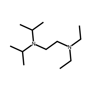 CCN(CC)CCN(C(C)C)C(C)C